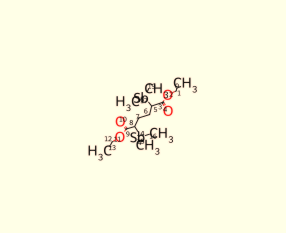 CCOC(=O)[CH](CC[CH](C(=O)OCC)[Sb]([CH3])[CH3])[Sb]([CH3])[CH3]